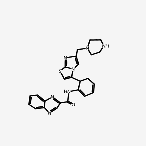 O=C(NC1=CC=CCC1c1csc2nc(CN3CCNCC3)cn12)c1cnc2ccccc2n1